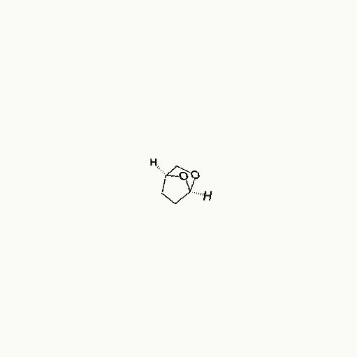 C1C[C@@H]2OC[C@H]1O2